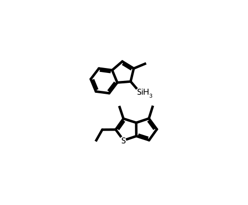 CC1=Cc2ccccc2C1[SiH3].CCC1=C(C)C2C(C)=CC=C2S1